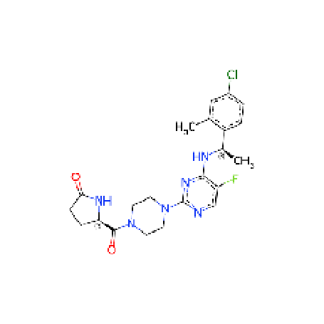 Cc1cc(Cl)ccc1[C@@H](C)Nc1nc(N2CCN(C(=O)[C@H]3CCC(=O)N3)CC2)ncc1F